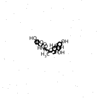 C[C@H](CCC(=O)N[C@@H](Cc1ccc(O)cc1)C(=O)O)[C@H]1CC[C@H]2[C@@H]3[C@H](O)C[C@@H]4C[C@H](O)CC[C@]4(C)[C@H]3CC[C@]12C